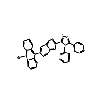 Brc1c2ccccc2c(-c2ccc3cc(-c4nnc(-c5ccccc5)n4-c4ccccc4)ccc3c2)c2ccccc12